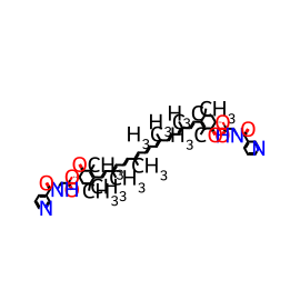 CC1=C(/C=C/C(C)=C/C=C/C(C)=C/C=C/C=C(C)/C=C/C=C(C)/C=C/C2=C(C)C(=O)[C@@H](OC(=O)CNC(=O)c3cccnc3)CC2(C)C)C(C)(C)C[C@H](OC(=O)CNC(=O)c2cccnc2)C1=O